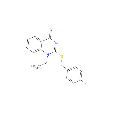 O=C(O)Cn1c(SCc2ccc(F)cc2)nc(=O)c2ccccc21